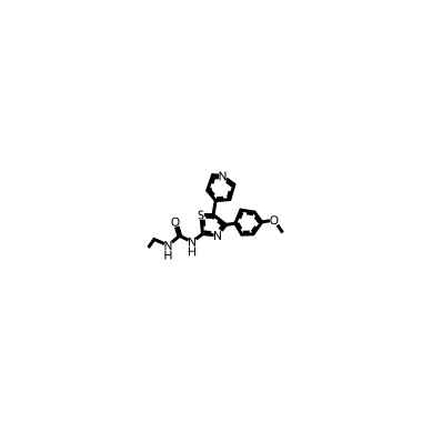 CCNC(=O)Nc1nc(-c2ccc(OC)cc2)c(-c2ccncc2)s1